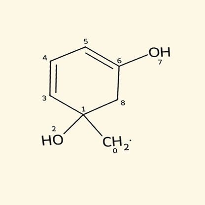 [CH2]C1(O)C=CC=C(O)C1